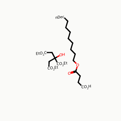 CCCCCCCCCCCCCCCCCCOC(=O)CCC(=O)O.CCOC(=O)CC(O)(CC(=O)OCC)C(=O)OCC